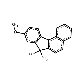 CBc1ccc2c(c1)C(C)(C)c1ccc3ccccc3c1-2